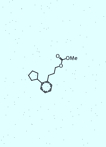 COC(=O)OCCCc1ccccc1C1CCCC1